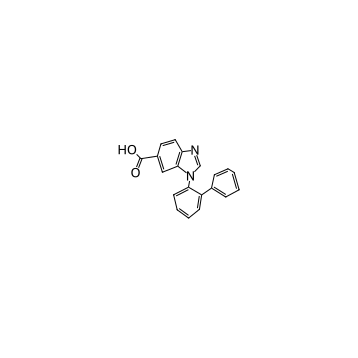 O=C(O)c1ccc2ncn(-c3ccccc3-c3ccccc3)c2c1